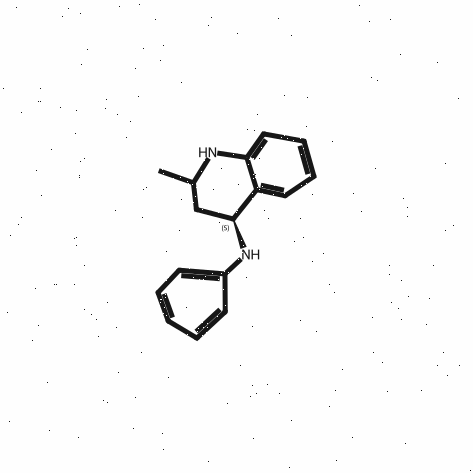 CC1C[C@H](Nc2ccccc2)c2ccccc2N1